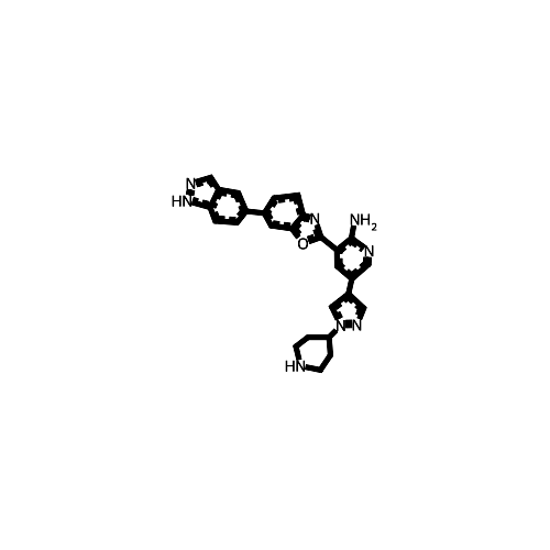 Nc1ncc(-c2cnn(C3CCNCC3)c2)cc1-c1nc2ccc(-c3ccc4[nH]ncc4c3)cc2o1